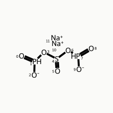 O=[PH]([O-])OS(=O)O[PH](=O)[O-].[Na+].[Na+]